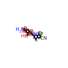 CC(C)c1c(F)c(C#N)cc2c1CC(CNS(=O)(=O)c1ccc(S(N)(=O)=O)cc1CO)=CC2C